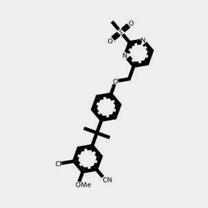 COc1c(Cl)cc(C(C)(C)c2ccc(OCc3ccnc(S(C)(=O)=O)n3)cc2)cc1C#N